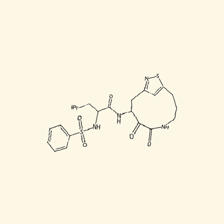 CC(C)CC(NS(=O)(=O)c1ccccc1)C(=O)NC1Cc2cc(sn2)CCCNC(=O)C1=O